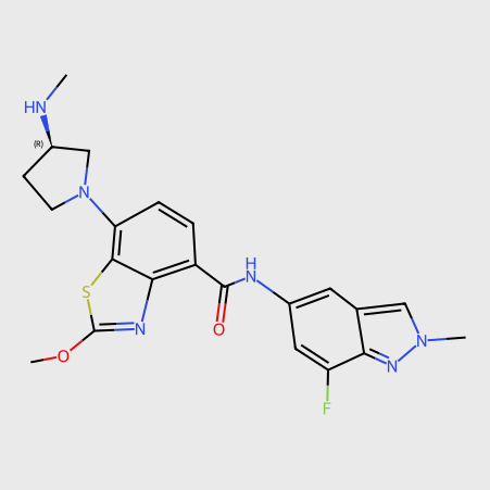 CN[C@@H]1CCN(c2ccc(C(=O)Nc3cc(F)c4nn(C)cc4c3)c3nc(OC)sc23)C1